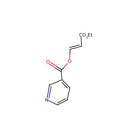 CCOC(=O)/C=C/OC(=O)c1cccnc1